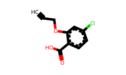 C#CCOc1cc(Cl)ccc1C(=O)O